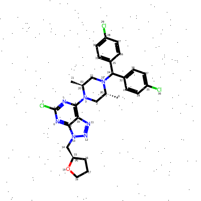 C[C@@H]1CN(c2nc(Cl)nc3c2nnn3C[C@H]2CCCO2)[C@@H](C)CN1C(c1ccc(Cl)cc1)c1ccc(Cl)cc1